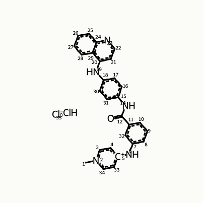 Cl.Cn1cc[c+](Nc2cccc(C(=O)Nc3ccc(Nc4ccnc5ccccc45)cc3)c2)cc1.[Cl-]